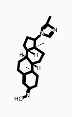 Cc1cn(C2CC[C@H]3[C@@H]4CCC5=C/C(=N\O)CC[C@]5(C)[C@H]4CC[C@]23C)cn1